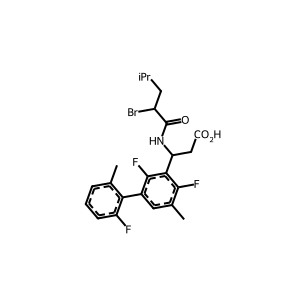 Cc1cc(-c2c(C)cccc2F)c(F)c(C(CC(=O)O)NC(=O)C(Br)CC(C)C)c1F